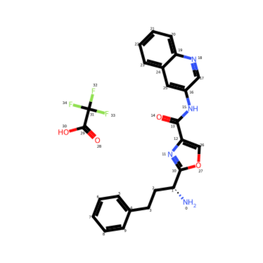 N[C@H](CCc1ccccc1)c1nc(C(=O)Nc2cnc3ccccc3c2)co1.O=C(O)C(F)(F)F